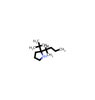 CCCC(C)(C)C1(C(C)(C)C)CCCN1